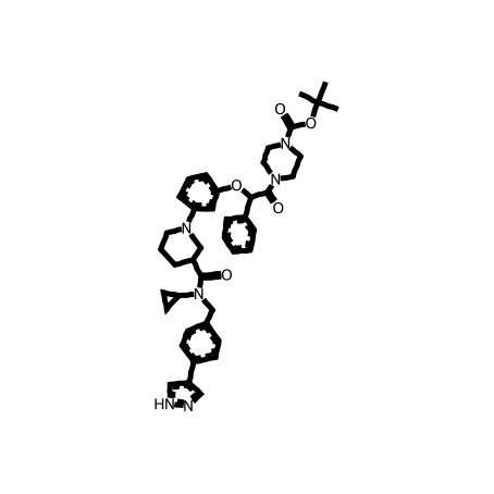 CC(C)(C)OC(=O)N1CCN(C(=O)C(Oc2cccc(N3CCCC(C(=O)N(Cc4ccc(-c5cn[nH]c5)cc4)C4CC4)C3)c2)c2ccccc2)CC1